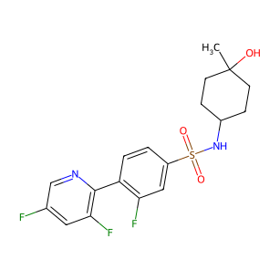 CC1(O)CCC(NS(=O)(=O)c2ccc(-c3ncc(F)cc3F)c(F)c2)CC1